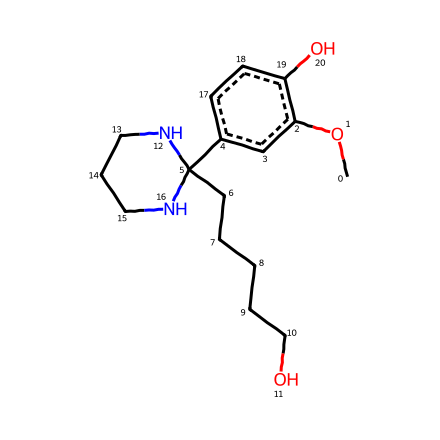 COc1cc(C2(CCCCCO)NCCCN2)ccc1O